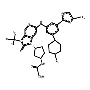 [2H]C([2H])([2H])n1c(=O)n([C@@H]2CC[C@@H](NC(=O)OC)C2)c2cc(Nc3cc(C4CCN(C(C)=O)CC4)cc(-c4ncc(C(F)(F)F)s4)n3)ncc21